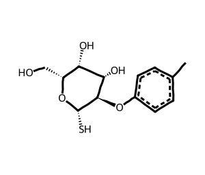 Cc1ccc(O[C@@H]2[C@@H](O)[C@@H](O)[C@@H](CO)O[C@H]2S)cc1